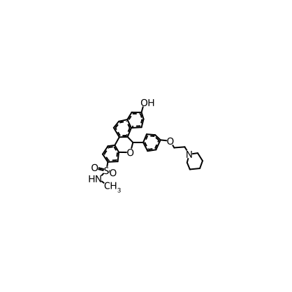 CNS(=O)(=O)c1ccc2c(c1)OC(c1ccc(OCCN3CCCCC3)cc1)c1c-2ccc2cc(O)ccc12